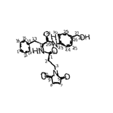 O=C(CCN1C(=O)C=CC1=O)N[C@@H](Cc1ccccc1)C(=O)Nc1ccc(CO)cc1